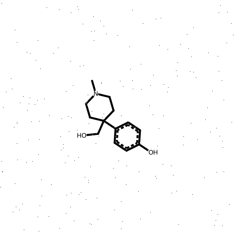 CN1CCC(CO)(c2ccc(O)cc2)CC1